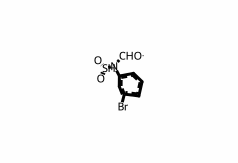 O=[C]N(c1cccc(Br)c1)[SH](=O)=O